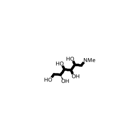 CNCC(O)C(O)C(O)[C@H](O)CO